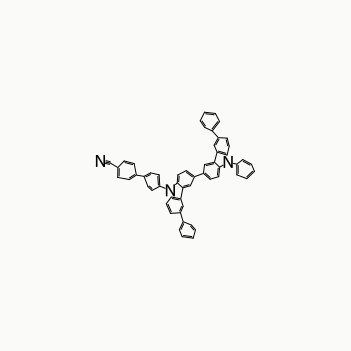 N#Cc1ccc(-c2ccc(-n3c4ccc(-c5ccccc5)cc4c4cc(-c5ccc6c(c5)c5cc(-c7ccccc7)ccc5n6-c5ccccc5)ccc43)cc2)cc1